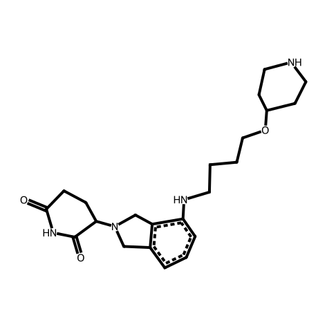 O=C1CCC(N2Cc3cccc(NCCCCOC4CCNCC4)c3C2)C(=O)N1